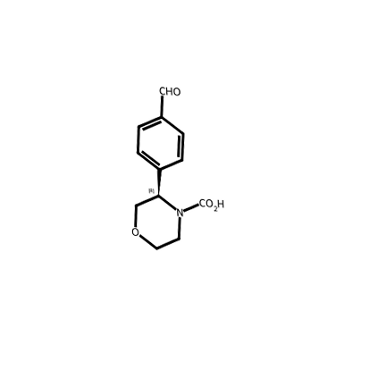 O=Cc1ccc([C@@H]2COCCN2C(=O)O)cc1